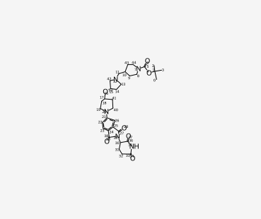 CC(C)(C)OC(=O)N1CCC(CN2CC[C@H](OC3CCN(c4ccc5c(c4)C(=O)N(C4CCC(=O)NC4=O)C5=O)CC3)C2)CC1